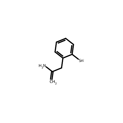 C=C(N)Cc1cccc[c]1[Sn]